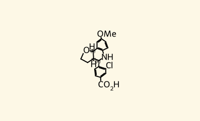 COc1ccc2c(c1)[C@@H]1OCCC[C@@H]1[C@H](c1ccc(C(=O)O)cc1Cl)N2